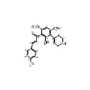 COc1cc(OC)c(C2=CCNCC2)c(O)c1C(=O)/C=C/c1ccc(C#N)cc1